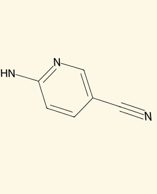 N#Cc1ccc([NH])nc1